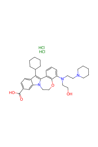 Cl.Cl.O=C(O)c1ccc2c(C3CCCCC3)c3n(c2c1)CCOc1c-3cccc1N(CCO)CCN1CCCCC1